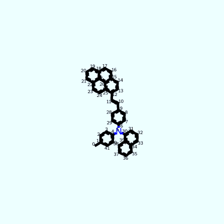 Cc1ccc(N(c2ccc(C=Cc3ccc4ccc5cccc6ccc3c4c56)cc2)c2cccc3ccccc23)cc1